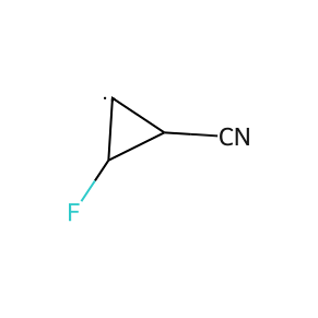 N#CC1[CH]C1F